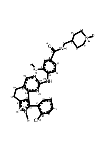 COc1cc(C(=O)NCC2CCN(C)CC2)ccc1Nc1ncc2c(n1)-c1c(nn(C)c1-c1ccccc1Cl)CC2